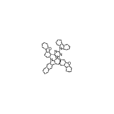 c1ccc2cc3c(cc2c1)c1ccccc1n3-c1ccc2c(oc3ccccc32)c1-c1nc(-c2ccc3c(c2)oc2ccccc23)nc(-n2c3ccccc3c3ccccc32)n1